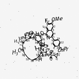 COc1cc2cc(-c3ccc(OC(C)C)cc3)nc(O[C@@H]3C[C@H]4C(=O)N[C@]5(C(=O)NS(=O)(=O)C6CC6)C[C@H]5C=CCC[C@H](C)C[C@@H](C)[C@H](NC(=O)O)C(=O)N4C3)c2cc1F